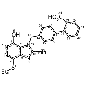 CCSc1nnc(O)c2c1nc(C(C)C)n2Cc1ccc(-c2ccccc2C(=O)O)cc1